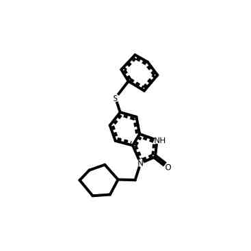 O=c1[nH]c2cc(Sc3ccccc3)ccc2n1CC1CCCCC1